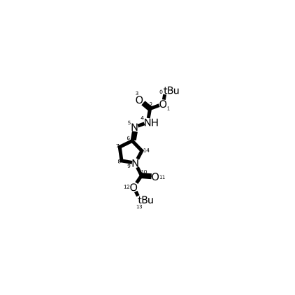 CC(C)(C)OC(=O)N/N=C1/CCN(C(=O)OC(C)(C)C)C1